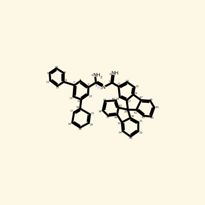 N=C(/N=C(\N)c1cc(-c2ccccc2)cc(-c2ccccc2)c1)c1ccc2c(c1)C1(c3ccccc3-c3ccccc31)c1ccccc1-2